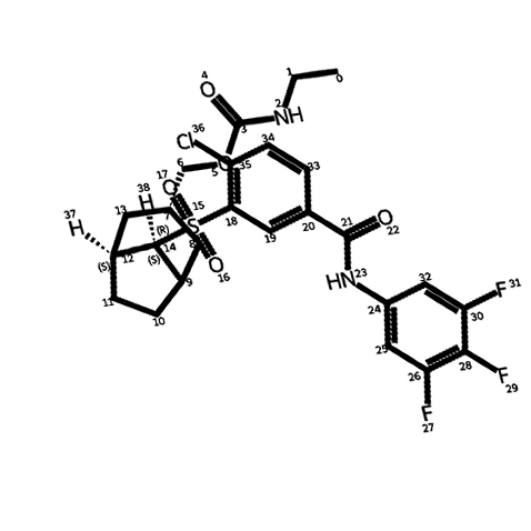 CCNC(=O)OC[C@@H]1CC2CC[C@@H](C1)[C@H]2S(=O)(=O)c1cc(C(=O)Nc2cc(F)c(F)c(F)c2)ccc1Cl